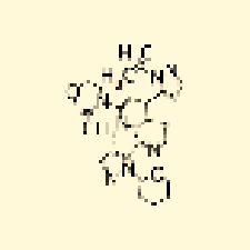 CC(C)n1nccc1-c1cc(N2CCOC[C@H]2C)nc2c(-c3ccnn3C3CCCCO3)nccc12